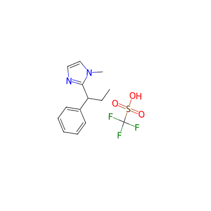 CCC(c1ccccc1)c1nccn1C.O=S(=O)(O)C(F)(F)F